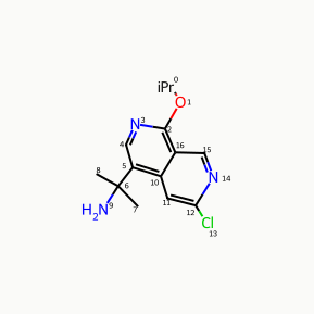 CC(C)Oc1ncc(C(C)(C)N)c2cc(Cl)ncc12